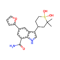 CC1(C)CC(c2c[nH]c3c(C(N)=O)cc(-c4ccco4)cc23)CCS1(O)O